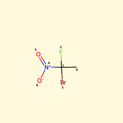 CC(F)(Br)[N+](=O)[O-]